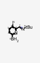 Bc1ccc(I)c(/C=N/C(C)(C)C)n1